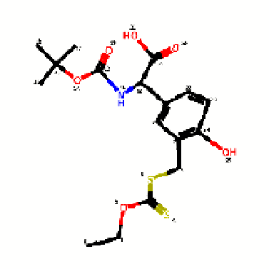 CCOC(=S)SCc1cc(C(NC(=O)OC(C)(C)C)C(=O)O)ccc1O